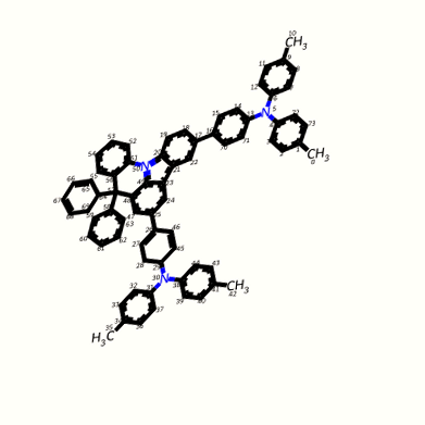 Cc1ccc(N(c2ccc(C)cc2)c2ccc(-c3ccc4c(c3)c3cc(C5=CCC(N(c6ccc(C)cc6)c6ccc(C)cc6)C=C5)cc5c3n4-c3ccccc3C5(c3ccccc3)C3C=CC=CC3)cc2)cc1